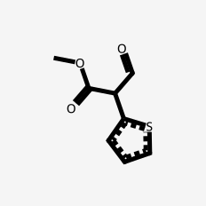 COC(=O)C(C=O)c1cccs1